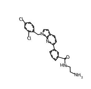 NCCNC(=O)c1cccc(-c2ccc3ccn(Cc4ccc(Cl)cc4Cl)c3n2)c1